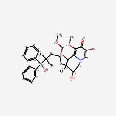 COCOC1c2c(OC)c(=O)c(Br)cn2CC(O)C1(C)CCCC(C)(C)[Si](O)(c1ccccc1)c1ccccc1